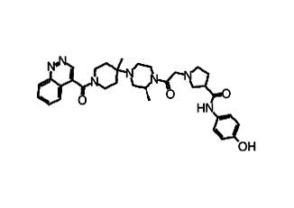 C[C@H]1CN(C2(C)CCN(C(=O)c3cnnc4ccccc34)CC2)CCN1C(=O)CN1CCC(C(=O)Nc2ccc(O)cc2)C1